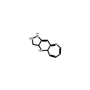 C1=CN=C2C=C3NNCC3NC2C=C1